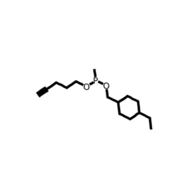 C#CCCCOP(C)OCC1CCC(CC)CC1